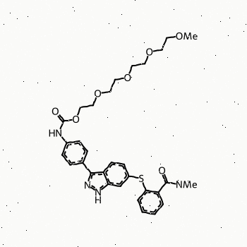 CNC(=O)c1ccccc1Sc1ccc2c(-c3ccc(NC(=O)OCCOCCOCCOCCOC)cc3)n[nH]c2c1